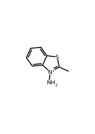 Cc1sc2ccccc2[n+]1N